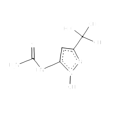 Cn1nc(C(C)(C)C)cc1NC(N)=S